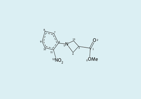 COC(=O)C1CN(c2ccccc2[N+](=O)[O-])C1